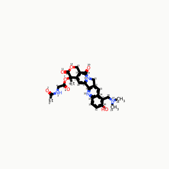 CCC(=O)NCC(=O)OC1(CC)C(=O)OCc2c1cc1n(c2=O)Cc2cc3c(CN(C)C)c(O)ccc3nc2-1